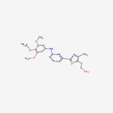 COc1cc(Nc2nccc(-c3nc(C)c(CCO)s3)n2)cc(OC)c1OC